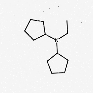 CCN(C1CCCC1)C1CCCC1